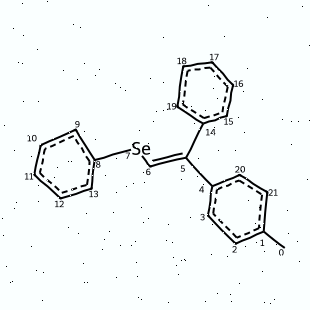 Cc1ccc(C(=C[Se]c2ccccc2)c2ccccc2)cc1